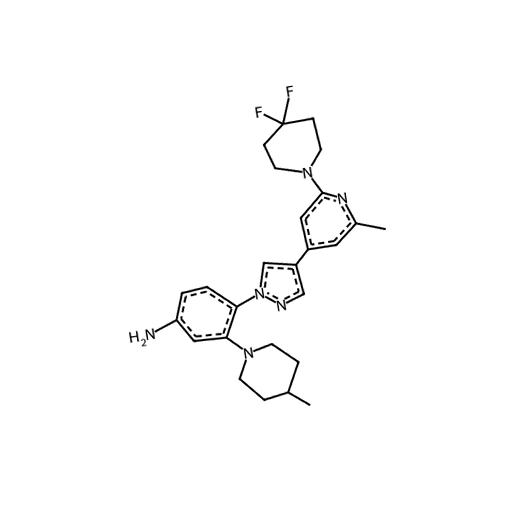 Cc1cc(-c2cnn(-c3ccc(N)cc3N3CCC(C)CC3)c2)cc(N2CCC(F)(F)CC2)n1